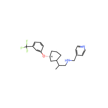 CC(CNCc1ccncc1)C1CCC[C@@H](Oc2cccc(C(F)(F)F)c2)C1